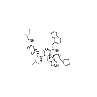 CCC(C)CNC(=O)/C=[P+](\[O-])O[C@@H](CC(C)C)NC(=O)[C@H](Cc1c[nH]cn1)NC(=O)[C@H](Cc1cccc2ccccc12)NC(=O)OCc1ccccc1